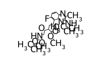 CCOC(=O)C(CC(=O)c1c(F)ccc2nc(C)c(NC(C)(C)C)nc12)C(=O)CNC(=O)OC(C)(C)C